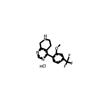 COc1cc(C(F)(F)F)ccc1-c1ncnc2c1CCNC2.Cl